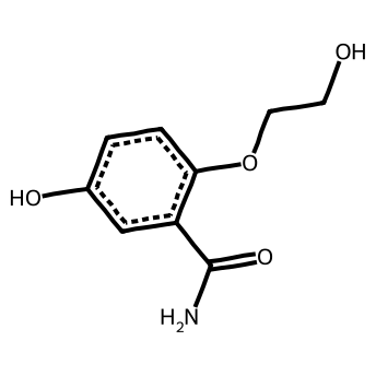 NC(=O)c1cc(O)ccc1OCCO